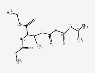 CCOC(=O)C(NC(=O)CC)C(C)SC(=O)CC(=O)OC(C)C